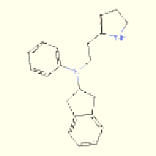 c1ccc(N(CCC2CCCN2)C2Cc3ccccc3C2)cc1